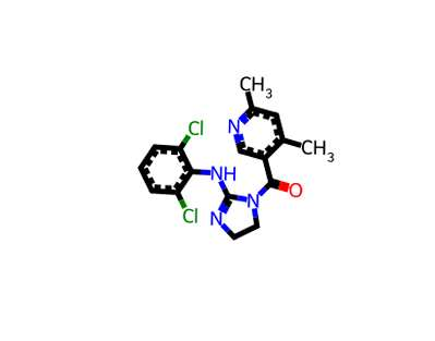 Cc1cc(C)c(C(=O)N2CCN=C2Nc2c(Cl)cccc2Cl)cn1